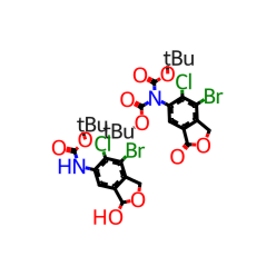 CC(C)(C)OC(=O)N(C(=O)OC(C)(C)C)c1cc2c(c(Br)c1Cl)COC2=O.CC(C)(C)OC(=O)Nc1cc2c(c(Br)c1Cl)COC2O